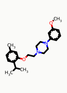 COc1cccc(N2CCN(CCOc3cc(C)ccc3C(C)C)CC2)c1